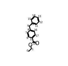 CCOC(=O)c1ccc(Cc2ccccc2)cc1